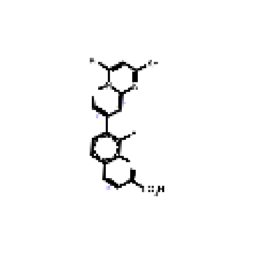 C=C(/C=C\c1ccc(C(=C/C)/C=C2/N=C(C(C)=O)C=C(CC)N2C)c(F)c1C)C(=O)O